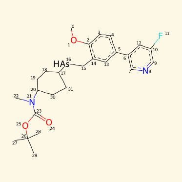 COc1ccc(-c2cncc(F)c2)cc1C[AsH]C1CCC(N(C)C(=O)OC(C)(C)C)CC1